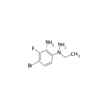 CCN(N)c1ccc(Br)c(F)c1N